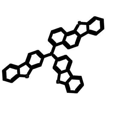 c1ccc2c(c1)oc1cc(N(c3ccc4c(c3)oc3ccccc34)c3cccc4c3ccc3c5ccccc5sc43)ccc12